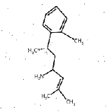 CC(C)=CC(N)C[C@H](C)c1ccccc1C